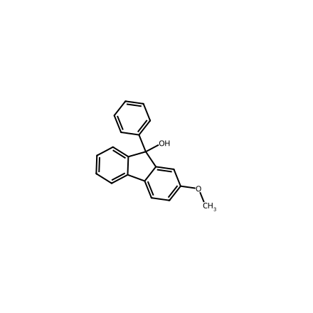 COc1ccc2c(c1)C(O)(c1ccccc1)c1ccccc1-2